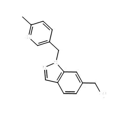 Cc1ccc(Cn2ncc3ccc(CO)cc32)cn1